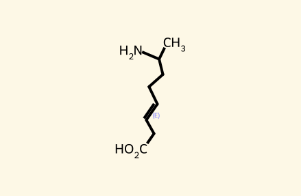 CC(N)CC/C=C/CC(=O)O